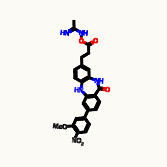 COc1cc(-c2ccc3c(c2)Nc2ccc(CCC(=O)ONC(C)=N)cc2NC3=O)ccc1[N+](=O)[O-]